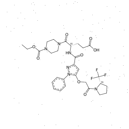 CCOC(=O)N1CCN(C(=O)[C@H](CCC(=O)O)NC(=O)c2cc(OCC(=O)N3CCC[C@H]3C(F)(F)F)n(-c3ccccc3)n2)CC1